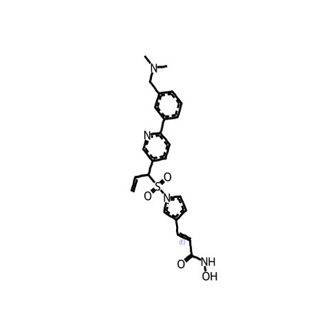 C=CC(c1ccc(-c2cccc(CN(C)C)c2)nc1)S(=O)(=O)n1ccc(/C=C/C(=O)NO)c1